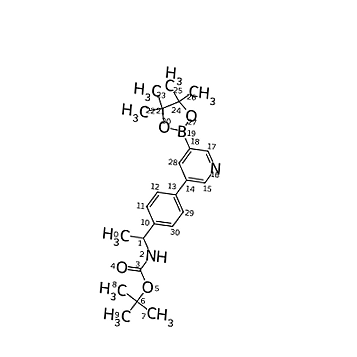 CC(NC(=O)OC(C)(C)C)c1ccc(-c2cncc(B3OC(C)(C)C(C)(C)O3)c2)cc1